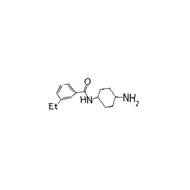 CCc1cccc(C(=O)NC2CCC(N)CC2)c1